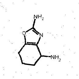 Nc1nc2c(o1)CCCC2N